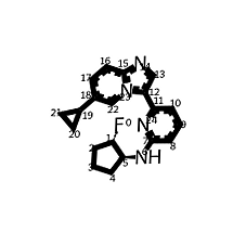 F[C@H]1CCC[C@@H]1Nc1cccc(-c2cnc3ccc(C4CC4)cn23)n1